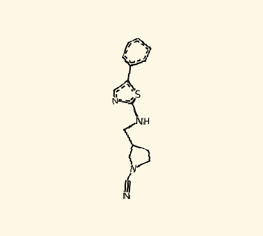 N#CN1CCC(CNc2ncc(-c3ccccc3)s2)C1